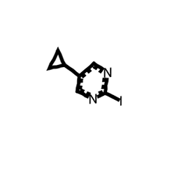 Ic1ncc(C2CC2)cn1